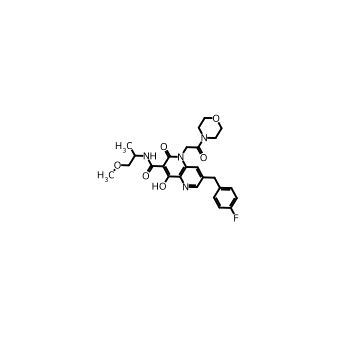 COCC(C)NC(=O)c1c(O)c2ncc(Cc3ccc(F)cc3)cc2n(CC(=O)N2CCOCC2)c1=O